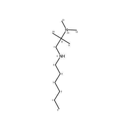 CCCCCCNCC(C)(C)N(C)C